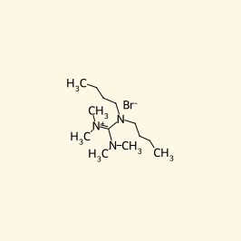 CCCCN(CCCC)C(N(C)C)=[N+](C)C.[Br-]